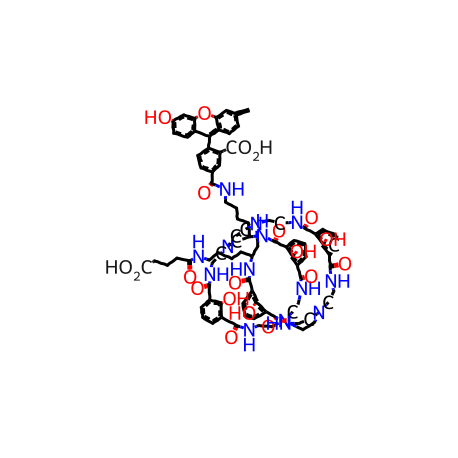 C=c1ccc2c(c1)Oc1cc(O)ccc1C=2c1ccc(C(=O)NCCCCC2CN3CCNC(=O)c4cccc(c4O)C(=O)NCCN(CCNC(=O)c4cccc(c4O)C(=O)N2)CCN2CCNC(=O)c4cccc(c4O)C(=O)NCCN(CC3)CC(CCCCNC(=O)CCCC(=O)O)NC(=O)c3cccc(c3O)C(=O)NCC2)cc1C(=O)O